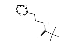 CC(C)(C)C(=O)NCCc1nccs1